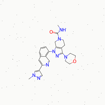 CNC(=O)N1CCc2c(N3CCOCC3)nn(-c3cccc4cc(-c5cnn(C)c5)ncc34)c2C1